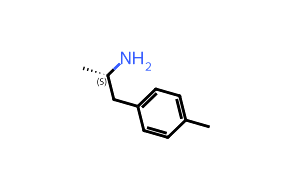 Cc1ccc(C[C@H](C)N)cc1